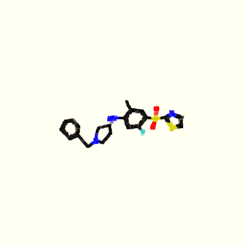 Cc1cc(S(=O)(=O)c2n[c]cs2)c(F)cc1N[C@@H]1CCN(Cc2ccccc2)C1